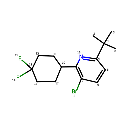 CC(C)(C)c1ccc(Br)c(C2CCC(F)(F)CC2)n1